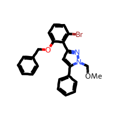 COCn1nc(-c2c(Br)cccc2OCc2ccccc2)cc1-c1ccccc1